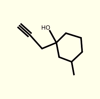 C#CCC1(O)CCCC(C)C1